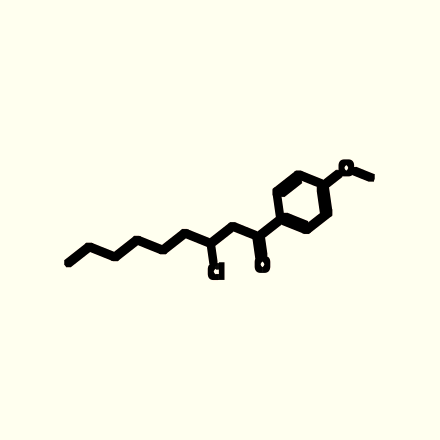 CCCCCCC(Cl)CC(=O)c1ccc(OC)cc1